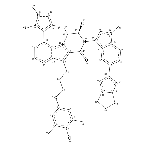 Cc1cc(OCCCc2c3n(c4c(-c5c(C)nn(C)c5C)cccc24)C(C)[C@@H](Cl)N(c2cn(C)c4ccc(-c5cn6c(n5)CCC6)cc24)C3=O)cc(C)c1Cl